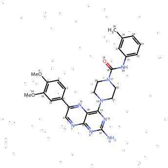 COc1ccc(-c2cnc3nc(N)nc(N4CCN(C(=O)Nc5cccc(C)c5)CC4)c3n2)cc1OC